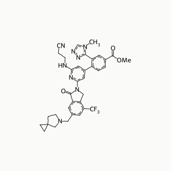 COC(=O)c1ccc(-c2cc(NCCC#N)nc(N3Cc4c(cc(CN5CCC6(CC6)C5)cc4C(F)(F)F)C3=O)c2)c(-c2nncn2C)c1